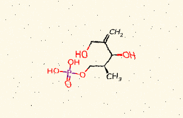 C=C(CO)[C@@H](O)[C@@H](C)COP(=O)(O)O